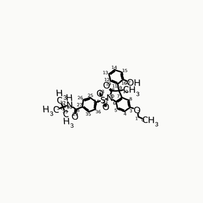 CCOc1ccc2c(c1)C(C)(c1ccccc1O)C(=O)N2S(=O)(=O)c1ccc(C(=O)NC(C)(C)C)cc1